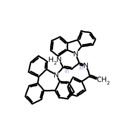 C=C(/N=C(\C=C(/N)N1c2ccccc2-c2ccccc2-c2ccccc21)n1c2ccccc2c2ccccc21)c1ccccc1